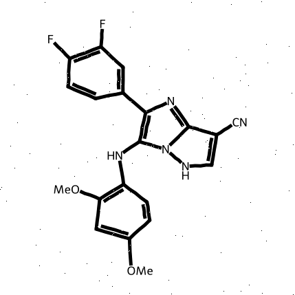 COc1ccc(Nc2c(-c3ccc(F)c(F)c3)nc3c(C#N)c[nH]n23)c(OC)c1